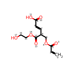 C=CC(=O)OCC(C=CC(=O)O)C(=O)OCCO